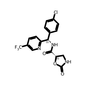 O=C1NC[C@@H](C(=O)N[C@@H](c2ccc(Cl)cc2)c2ccc(C(F)(F)F)cn2)O1